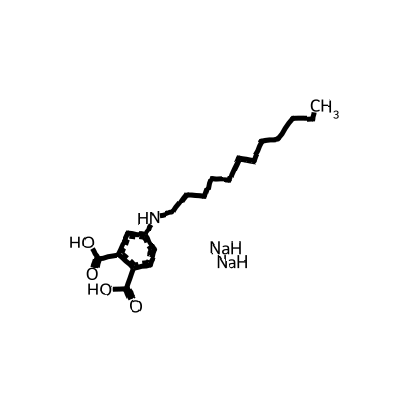 CCCCCCCCCCCCNc1ccc(C(=O)O)c(C(=O)O)c1.[NaH].[NaH]